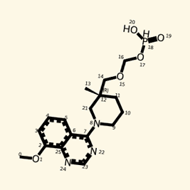 COc1cccc2c(N3CCC[C@@](C)(COCO[PH](=O)O)C3)ncnc12